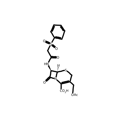 CC(=O)OCC1=C(C(=O)O)N2C(=O)[C@@H](NC(=O)CS(=O)(=O)c3ccccc3)[C@H]2SC1